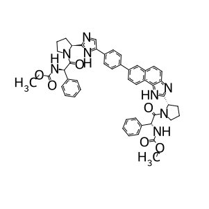 COC(=O)N[C@@H](C(=O)N1CCC[C@H]1c1ncc(-c2ccc(-c3ccc4c(ccc5nc([C@@H]6CCCN6C(=O)[C@H](NC(=O)OC)c6ccccc6)[nH]c54)c3)cc2)[nH]1)c1ccccc1